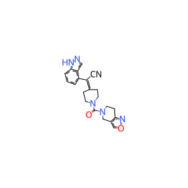 N#CC(=C1CCN(C(=O)N2CCc3nocc3C2)CC1)c1cccc2[nH]ncc12